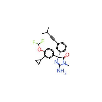 CC(C)C#Cc1cccc([C@@]2(c3ccc(OC(F)F)c(C4CC4)c3)N=C(N)N(C)C2=O)c1